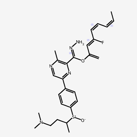 C=C(/C=C(F)/C=C\C=C/C)O/C(=N\N)c1nc(-c2ccc([S+]([O-])C(C)CCN(C)C)cc2)cnc1C